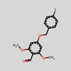 COc1cc(OCc2ccc(F)cc2)cc(OC)c1C=O